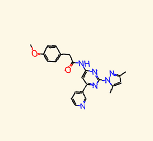 COc1ccc(CC(=O)Nc2cc(-c3cccnc3)nc(-n3nc(C)cc3C)n2)cc1